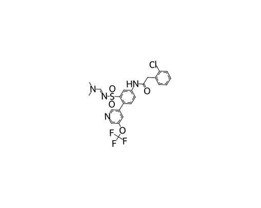 CN(C)/C=N/S(=O)(=O)c1cc(NC(=O)Cc2ccccc2Cl)ccc1-c1cncc(OC(F)(F)F)c1